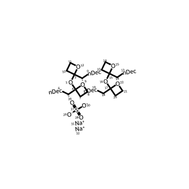 CCCCCCCCCCCC1(OC2(CCCCCCCCCCC)CCO2)CCO1.CCCCCCCCCCCC1(OC2(CCCCCCCCCCC)CCO2)CCO1.O=S(=O)([O-])[O-].[Na+].[Na+]